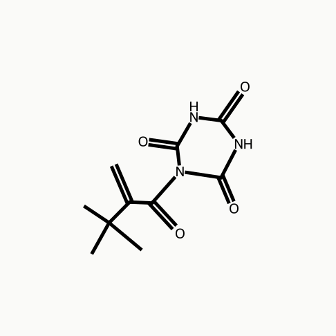 C=C(C(=O)n1c(=O)[nH]c(=O)[nH]c1=O)C(C)(C)C